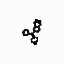 c1ccc(N(c2ccc3cnncc3c2)N2CCOCC2)cc1